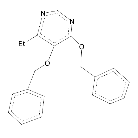 [CH2]Cc1ncnc(OCc2ccccc2)c1OCc1ccccc1